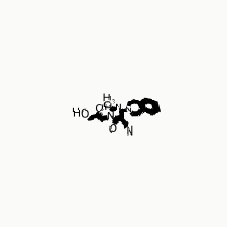 Cc1nc(N2CCc3ccccc3CC2)c(C#N)c(=O)n1C[C@H](O)CO